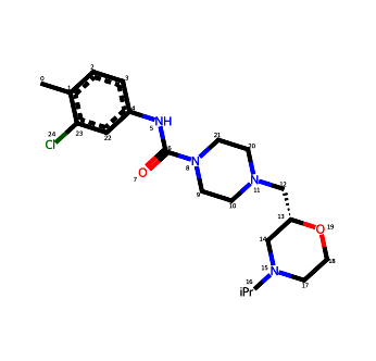 Cc1ccc(NC(=O)N2CCN(C[C@H]3CN(C(C)C)CCO3)CC2)cc1Cl